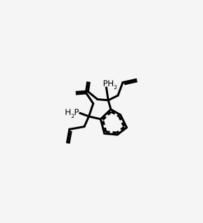 C=CCC(P)(CC=C)c1ccccc1C(P)(CC=C)CC=C